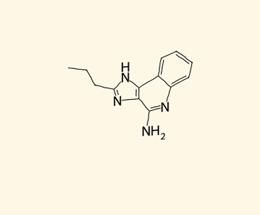 CCCc1nc2c(N)nc3ccccc3c2[nH]1